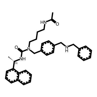 CC(=O)NCCCCN(Cc1ccc(CNCc2ccccc2)cc1)C(=O)N[C@@H](C)c1cccc2ccccc12